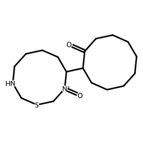 O=C1CCCCCCCCC1C1CCCCNCSC[N+]1=O